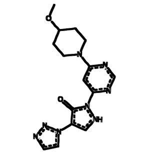 COC1CCN(c2cc(-n3[nH]cc(-n4ccnn4)c3=O)ncn2)CC1